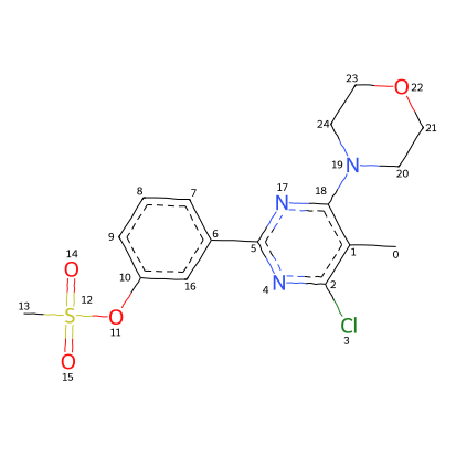 Cc1c(Cl)nc(-c2cccc(OS(C)(=O)=O)c2)nc1N1CCOCC1